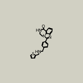 O=C1NCCn2c(-c3ccc(CNCc4cccs4)cc3)nc3cccc1c32